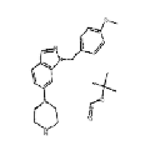 CC(C)(C)OC=O.COc1ccc(Cn2ncc3ccc(N4CCNCC4)cc32)cc1